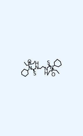 CCP(=O)(CC)N(C(=S)NCCNC(=S)N(C1CCCCC1)P(=O)(CC)CC)C1CCCCC1